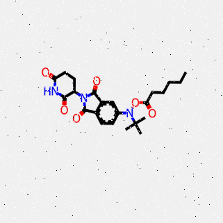 CCCCCC(=O)ON(c1ccc2c(c1)C(=O)N(C1CCC(=O)NC1=O)C2=O)C(C)(C)C